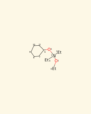 CCO[Si](CC)(CC)OC1CCCCC1